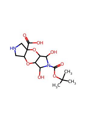 CC(C)(C)OC(=O)N1C(O)C2OC3CNCC3(C(=O)O)OC2C1O